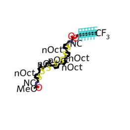 [C-]#[N+]/C(=C\c1cc(CCCCCCCC)c(-c2cc(CCCCCCCC)c(-c3cc(CCCCCCCC)c(-c4ccc(-c5sc(-c6sc(-c7sc(/C=C(\C#N)C(=O)OC)cc7CCCCCCCC)cc6CCCCCCCC)cc5CCCCCCCC)s4)s3)s2)s1)C(=O)OCC(F)(F)C(F)(F)C(F)(F)C(F)(F)C(F)(F)C(F)(F)C(F)(F)F